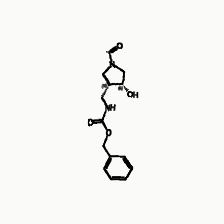 O=[C]N1C[C@@H](CNC(=O)OCc2ccccc2)[C@@H](O)C1